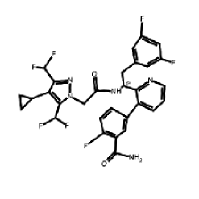 NC(=O)c1cc(-c2cccnc2[C@H](Cc2cc(F)cc(F)c2)NC(=O)Cn2nc(C(F)F)c(C3CC3)c2C(F)F)ccc1F